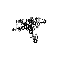 CC(C)NC(=O)OC12CCC(c3ncc(-c4ccc(NC(=O)NCc5ccccc5)cc4S(=O)(=O)N(c4nc(C56CCC(OC(=O)NC(C)C)(CC5)CC6)sc4-c4ccc(NC(=O)NCc5ccccn5)cc4S(=O)(=O)NC(C)(C)C)C(C)(C)C)s3)(CC1)CC2